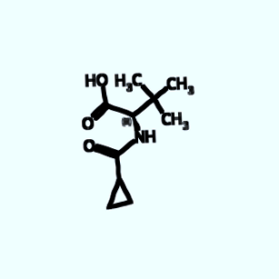 CC(C)(C)[C@@H](NC(=O)C1CC1)C(=O)O